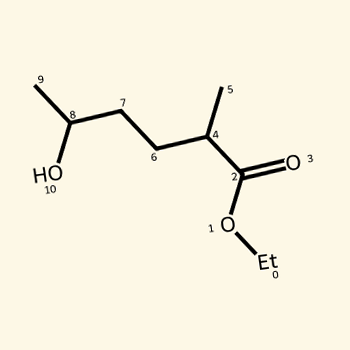 CCOC(=O)C(C)CCC(C)O